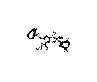 CC(C)(C)OC(=O)N1C[C@H](NS(=O)(=O)c2cc(Br)ccc2Br)C[C@@H]1COc1ccccc1